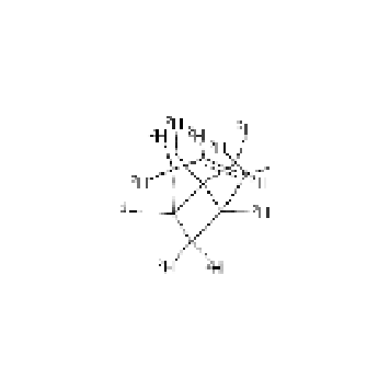 [2H]CC1(C([2H])([2H])[2H])C2([2H])C(C)=C([2H])C([2H])([2H])C1([2H])C2([2H])[2H]